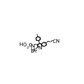 Cc1ccc(-c2c(CNC(=O)O)c(CC(C)C)nc3ccc(CCCC#N)cc23)cc1